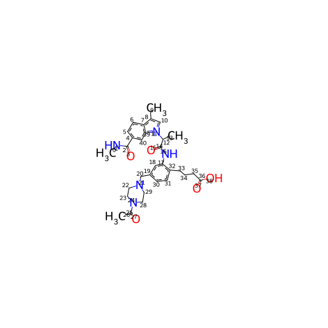 CNC(=O)c1ccc2c(C)cn(C(C)C(=O)Nc3cc(CN4CCN(C(C)=O)CC4)ccc3CCCC(=O)O)c2c1